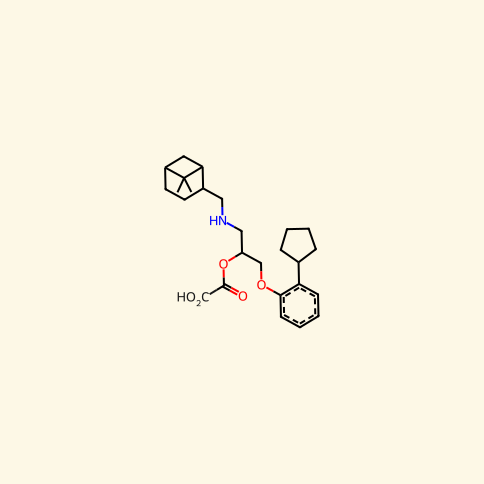 CC1(C)C2CCC(CNCC(COc3ccccc3C3CCCC3)OC(=O)C(=O)O)C1C2